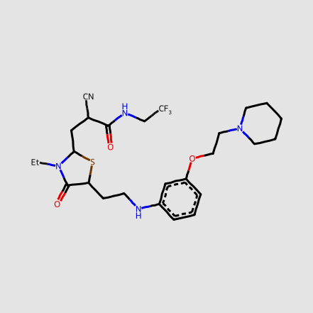 CCN1C(=O)C(CCNc2cccc(OCCN3CCCCC3)c2)SC1CC(C#N)C(=O)NCC(F)(F)F